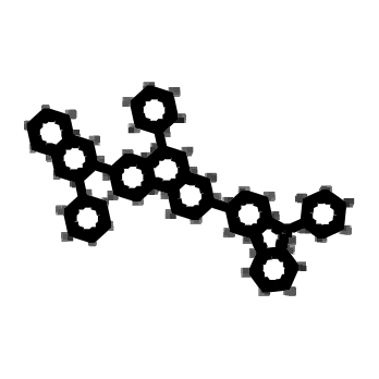 c1ccc(-c2cc3ccccc3cc2-c2ccc3c(c2)c(-c2ccccc2)cc2cc(-c4ccc5c(c4)c4ccccc4n5-c4ccccc4)ccc23)cc1